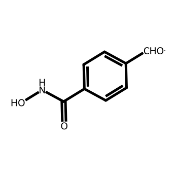 O=[C]c1ccc(C(=O)NO)cc1